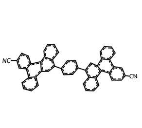 N#Cc1ccc2c(c1)c1ccccc1c1cc(-c3ccc(-c4cc5c6ccccc6c6cc(C#N)ccc6c5c5ccccc45)cc3)c3ccccc3c21